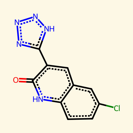 O=c1[nH]c2ccc(Cl)cc2cc1-c1nnn[nH]1